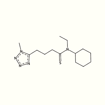 CCN(C(=S)CCCc1nnnn1C)C1CCCCC1